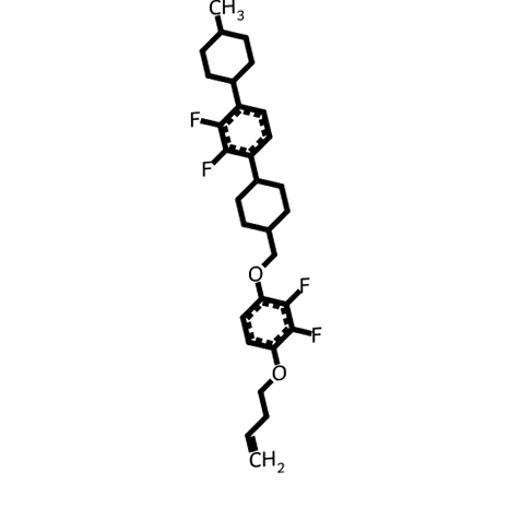 C=CCCOc1ccc(OCC2CCC(c3ccc(C4CCC(C)CC4)c(F)c3F)CC2)c(F)c1F